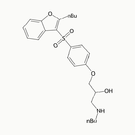 CCCCNCC(O)COc1ccc(S(=O)(=O)c2c(CCCC)oc3ccccc23)cc1